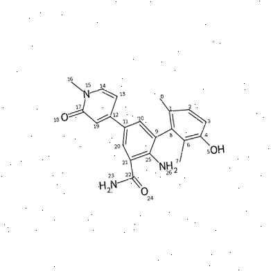 Cc1ccc(O)c(C)c1-c1cc(-c2ccn(C)c(=O)c2)cc(C(N)=O)c1N